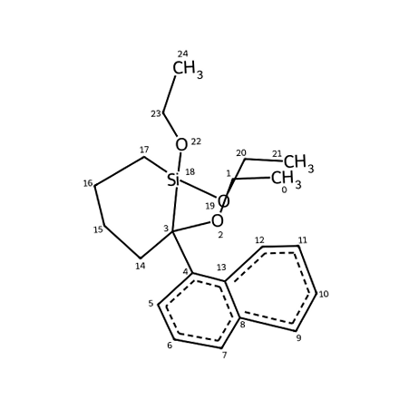 CCOC1(c2cccc3ccccc23)CCCC[Si]1(OCC)OCC